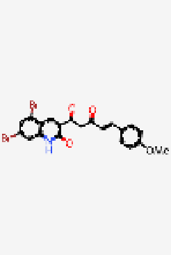 COc1ccc(C=CC(=O)CC(=O)c2cc3c(Br)cc(Br)cc3[nH]c2=O)cc1